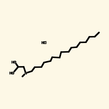 CCCCCCCCCCCCCCCCN(C)CC(O)O.Cl